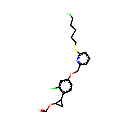 O=COC1CC1c1ccc(OCc2cccc(SCCCCCCl)n2)cc1Cl